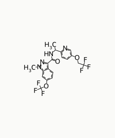 CC(NC(=O)c1nn(C)c2cc(OC(F)(F)F)ccc12)c1ccc(OCC(F)(F)F)cn1